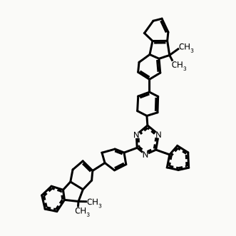 CC1(C)C2=CC(C3=CCC(c4nc(C5=CCC(C6=CCC7c8ccccc8C(C)(C)C7C6)C=C5)nc(-c5ccccc5)n4)C=C3)=CCC2C2=C1C=CCC2